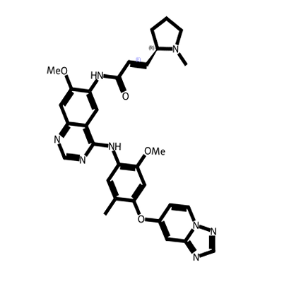 COc1cc2ncnc(Nc3cc(C)c(Oc4ccn5ncnc5c4)cc3OC)c2cc1NC(=O)/C=C/[C@H]1CCCN1C